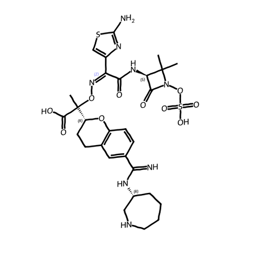 CC(O/N=C(\C(=O)N[C@@H]1C(=O)N(OS(=O)(=O)O)C1(C)C)c1csc(N)n1)(C(=O)O)[C@H]1CCc2cc(C(=N)N[C@@H]3CCCCNC3)ccc2O1